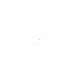 Bc1cccc2cc3ccccc3cc12